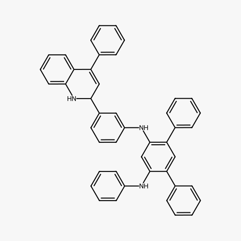 C1=C(c2ccccc2)c2ccccc2NC1c1cccc(Nc2cc(Nc3ccccc3)c(-c3ccccc3)cc2-c2ccccc2)c1